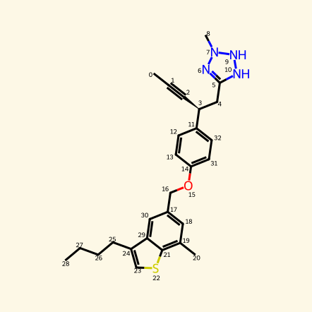 CC#C[C@@H](CC1=NN(C)NN1)c1ccc(OCc2cc(C)c3scc(CCCC)c3c2)cc1